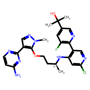 C[C@@H](CCOc1c(-c2nccc(N)n2)cnn1C)Nc1cc(Cl)ncc1-c1ncc(C(C)(C)O)cc1F